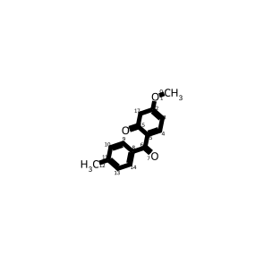 COC1=CC=C(C(=O)c2ccc(C)cc2)C(=O)C1